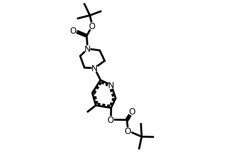 Cc1cc(N2CCN(C(=O)OC(C)(C)C)CC2)ncc1OC(=O)OC(C)(C)C